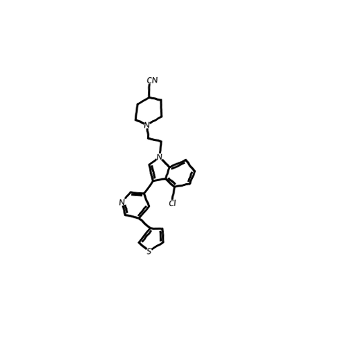 N#CC1CCN(CCn2cc(-c3cncc(-c4ccsc4)c3)c3c(Cl)cccc32)CC1